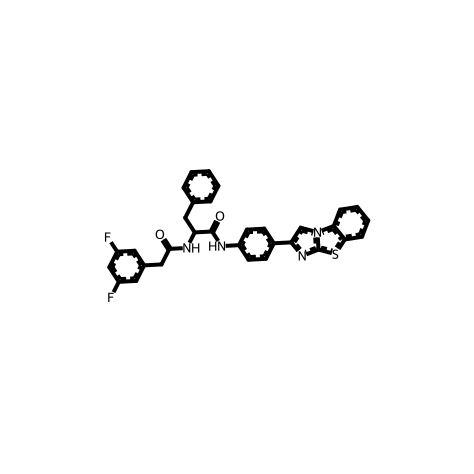 O=C(Cc1cc(F)cc(F)c1)NC(Cc1ccccc1)C(=O)Nc1ccc(-c2cn3c(n2)sc2ccccc23)cc1